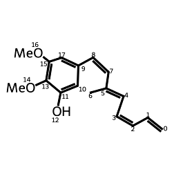 C=C\C=C/C=C(C)/C=C\c1cc(O)c(OC)c(OC)c1